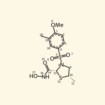 COc1ccc(S(=O)(=O)N2C[C@H](C)S[C@@H]2C(=O)NO)cc1C